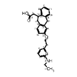 CCNc1cccc(CCOc2ccc3c(c2)Cc2ccccc2C(CC(=O)O)C3)n1